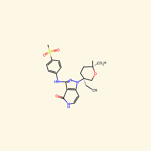 C[C@]1(C(=O)O)CC[C@](CC#N)(n2nc(Nc3ccc(S(C)(=O)=O)cc3)c3c(=O)[nH]ccc32)CO1